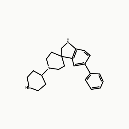 c1ccc(-c2ccc3c(c2)C2(CCN(C4CCNCC4)CC2)CN3)cc1